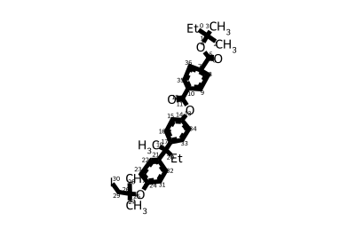 CCC(C)(C)OC(=O)c1ccc(C(=O)Oc2ccc(C(C)(CC)c3ccc(OC(C)(C)CI)cc3)cc2)cc1